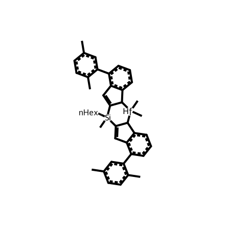 CCCCCC[Si]1(C)C2=Cc3c(-c4cc(C)ccc4C)cccc3[CH]2[Hf]([CH3])([CH3])[CH]2C1=Cc1c(-c3cc(C)ccc3C)cccc12